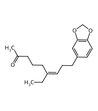 CCC(=CCCc1ccc2c(c1)OCO2)CCCC(C)=O